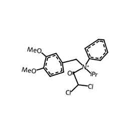 COc1ccc(C[N+](C(=O)C(Cl)Cl)(c2ccccc2)C(C)C)cc1OC